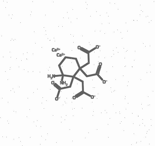 NC1(N)CCCC(CC(=O)[O-])(CC(=O)[O-])C1(CC(=O)[O-])CC(=O)[O-].[Ca+2].[Ca+2]